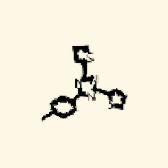 Cc1ccc(-c2nc(-c3cccs3)nc(-c3cccs3)n2)cc1